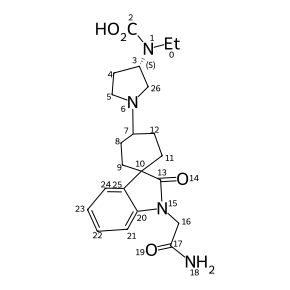 CCN(C(=O)O)[C@H]1CCN(C2CCC3(CC2)C(=O)N(CC(N)=O)c2ccccc23)C1